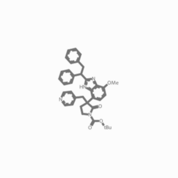 COc1ccc(C2(Cc3ccncc3)CCN(C(=O)OC(C)(C)C)C2=O)c2[nH]c(C(Cc3ccccc3)c3ccccc3)nc12